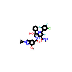 CNC(=O)c1cc([C@@](O)(CNC(=O)c2cc(OC)c3nn(C4CC4)cc3c2)c2ccccc2)nc(-c2cc(Cl)c(F)cc2F)c1F